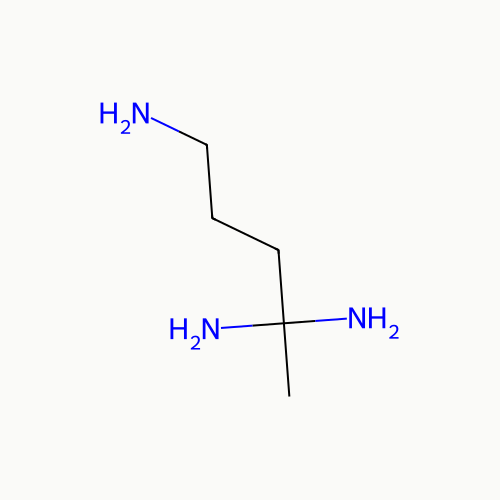 CC(N)(N)CCCN